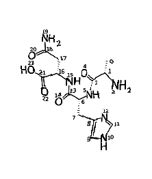 C[C@H](N)C(=O)N[C@H](Cc1c[nH]cn1)C(=O)N[C@@H](CC(N)=O)C(=O)O